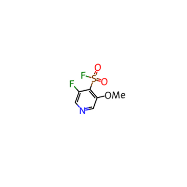 COc1cncc(F)c1S(=O)(=O)F